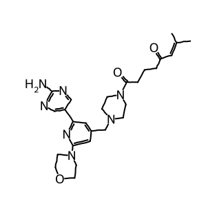 CC(C)=CC(=O)CCCC(=O)N1CCN(Cc2cc(-c3cnc(N)nc3)nc(N3CCOCC3)c2)CC1